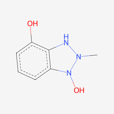 CN1Nc2c(O)cccc2N1O